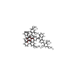 Cc1cc(C)c(-c2ccc3c(c2)c2ccccc2n3-c2ccc(-c3nc(-c4ccccc4)nc(-c4ccccc4)n3)c(-c3cc(C#N)ccc3-n3c4ccccc4c4cc(-c5c(C)cc(C)cc5C)ccc43)c2)c(C)c1